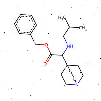 CC(C)CNC(C(=O)OCc1ccccc1)C12CCN(CC1)CC2